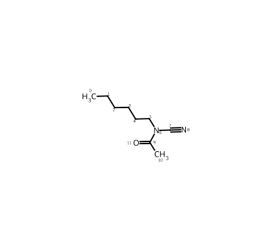 CCCCCCN(C#N)C(C)=O